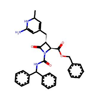 CC1C=C(C[C@H]2C(=O)N(C(=O)NC(c3ccccc3)c3ccccc3)[C@@H]2C(=O)OCc2ccccc2)C=C(N)N1